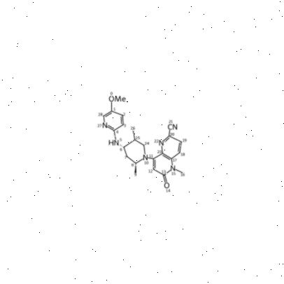 COc1ccc(N[C@H]2C[C@H](C)N(c3cc(=O)n(C)c4ccc(C#N)nc34)CC2C)nc1